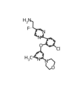 Cc1cc(Oc2cc(Cl)ccc2-c2ncc([C@H](F)CN)cn2)cc(N2CCOCC2)n1